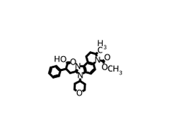 COC(=O)N1c2ccc3c(nc(CC(C(=O)O)c4ccccc4)n3C3CCOCC3)c2CCC1C